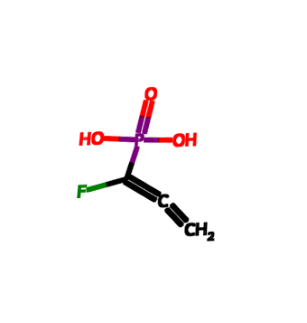 C=C=C(F)P(=O)(O)O